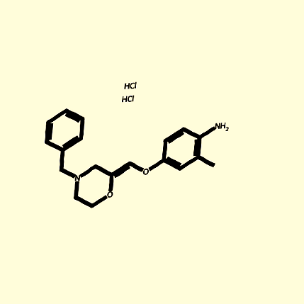 Cc1cc(OC=C2CN(Cc3ccccc3)CCO2)ccc1N.Cl.Cl